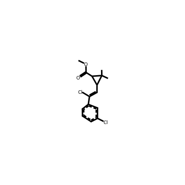 COC(=O)C1C(C=C(Cl)c2cccc(Cl)c2)C1(C)C